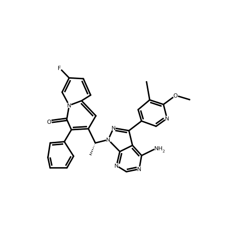 COc1ncc(-c2nn([C@H](C)c3cc4ccc(F)cn4c(=O)c3-c3ccccc3)c3ncnc(N)c23)cc1C